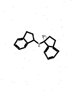 N[C@]1(NC2CCc3ccccc32)CCc2ccccc21